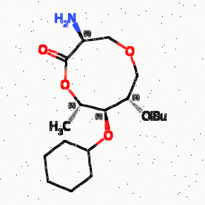 CC(C)CO[C@H]1COC[C@H](N)C(=O)O[C@@H](C)[C@@H]1OC1CCCCC1